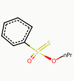 CCCO[S@](=O)(=S)c1ccccc1